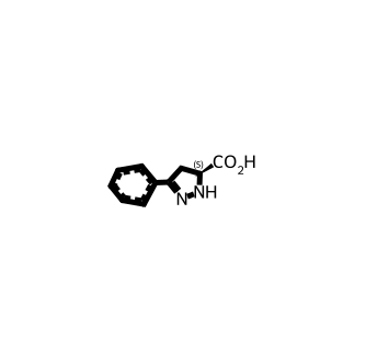 O=C(O)[C@@H]1CC(c2ccccc2)=NN1